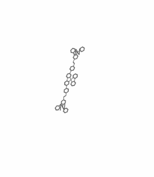 C(=C\c1ccc2c(c1)c1ccccc1n2-c1ccccc1)/c1ccc(-c2ccc3c(c2)C2(c4ccccc4-c4ccccc42)c2cc(-c4ccc(/C=C/c5ccc6c(c5)c5ccccc5n6-c5ccccc5)cc4)ccc2-3)cc1